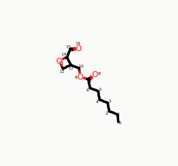 CCCCCCCC(=O)OCC1COC1C=O